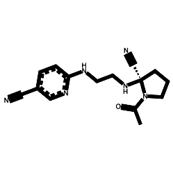 CC(=O)N1CCC[C@]1(C#N)NCCNc1ccc(C#N)cn1